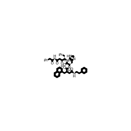 CC(C)CC(=O)NC(=O)C[C@H](O)[C@H](CC(C)C)NC(=O)[C@H](Cc1c[nH]cn1)NC(=O)C(CC(=O)NCCc1ccccc1)Cc1cccc2ccccc12